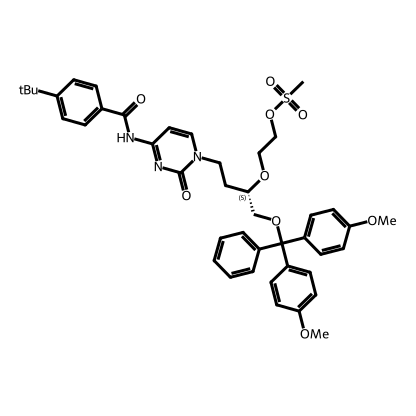 COc1ccc(C(OC[C@H](CCn2ccc(NC(=O)c3ccc(C(C)(C)C)cc3)nc2=O)OCCOS(C)(=O)=O)(c2ccccc2)c2ccc(OC)cc2)cc1